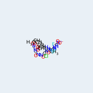 Cn1c(-c2cn(-c3ncc([N+](=O)[O-])cc3F)nc2C(F)(F)F)cnc1C(=O)Nc1ccc(C(=O)N2CCN(C(=O)C3CC[N+](CC(=O)OC(C)(C)C)(CC4CN(C(=O)OC(C)(C)C)C4)CC3)CC2)c(Cl)c1